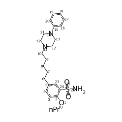 CCCOc1ccc(CCCCCN2CCN(c3ccccc3)CC2)cc1S(N)(=O)=O